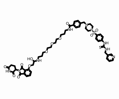 O=C1CCC(N2C(=O)c3cccc(OCC(O)NCCCOCCOCCOCCCNC(=O)c4ccc(CN5CCN(S(=O)(=O)c6ccc(NC(=S)NCc7cccnc7)cc6)CC5)cc4)c3C2=O)C(=O)N1